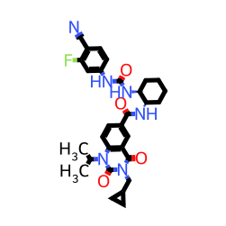 CC(C)n1c(=O)n(CC2CC2)c(=O)c2cc(C(=O)N[C@H]3CCCC[C@@H]3NC(=O)Nc3ccc(C#N)c(F)c3)ccc21